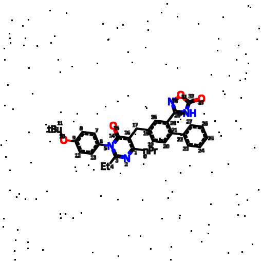 CCCc1nc(CC)n(-c2ccc(OC(C)(C)C)cc2)c(=O)c1Cc1ccc(-c2ccccc2)c(-c2noc(=O)[nH]2)c1